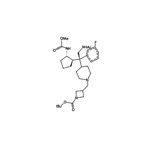 COC(=O)N[C@H]1CCC[C@@H]1[C@](CNC(C)=O)(c1cccc(F)c1)C1CCN(CC2CN(C(=O)OC(C)(C)C)C2)CC1